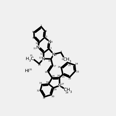 CCN1c2nc3ccccc3nc2N(CC)C1C=Cc1c(-c2ccccc2)n(C)c2ccccc12.I